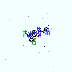 O=C1C=C(c2c(-n3cc(C(F)(F)F)nn3)ccc(Cl)c2F)C[C@@H]2CC[C@H](c3ncc(-c4c[nH]c5ncccc45)[nH]3)N12